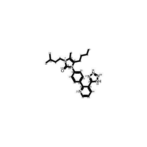 CCCCc1c(C)n(CCC(C)C)c(=O)n1-c1ccc(-c2ncccc2-c2nnn[nH]2)cc1